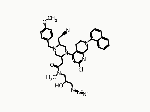 COc1ccc(CN2CC(CC(=O)N(C)CC(O)CN=[N+]=[N-])N(c3nc(Cl)nc4c3CCN(c3cccc5ccccc35)C4)CC2CC#N)cc1